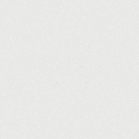 O=C(Nc1n[nH]c2nc(Oc3ccc(F)cc3F)ncc12)c1cccs1